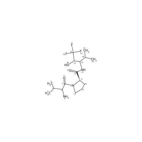 CC(C)C(N)C(=O)N1CCC[C@@H]1C(=O)NC(C(C)C)C(O)C(F)(F)F